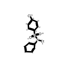 CCN(c1ccccc1)S(=O)(=O)c1c[c]c(Cl)cc1